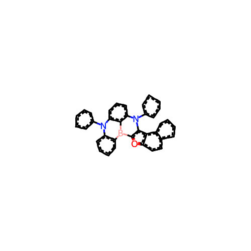 c1ccc(N2c3ccccc3B3c4oc5ccc6ccccc6c5c4N(c4ccccc4)c4cccc2c43)cc1